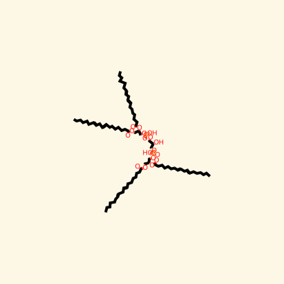 CCCCCCC=CCC=CCCCCCCC(=O)OCC(COP(=O)(O)OCC(O)COP(=O)(O)OCC(COC(=O)CCCCCCC=CCC=CCCCCCC)OC(=O)CCCCCCC=CCC=CCCCCCC)OC(=O)CCCCCCC=CCC=CCCCCCC